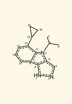 CC(C)n1c2cn[nH]c2c2cccc(C3CC3)c21